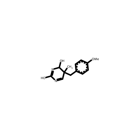 COc1ccc(CC2(C)C=NC(O)=NC2O)cc1